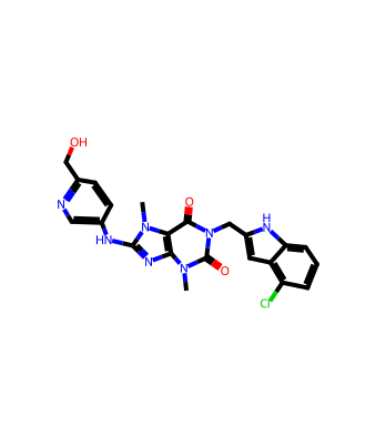 Cn1c(Nc2ccc(CO)nc2)nc2c1c(=O)n(Cc1cc3c(Cl)cccc3[nH]1)c(=O)n2C